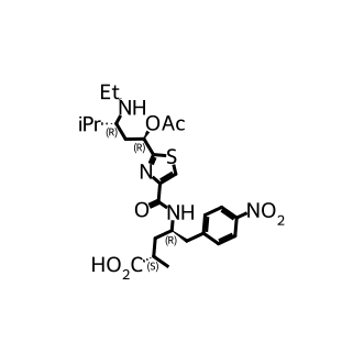 CCN[C@H](C[C@@H](OC(C)=O)c1nc(C(=O)N[C@@H](Cc2ccc([N+](=O)[O-])cc2)C[C@H](C)C(=O)O)cs1)C(C)C